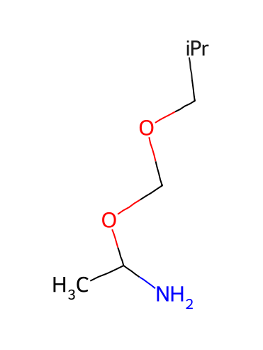 CC(C)COCOC(C)N